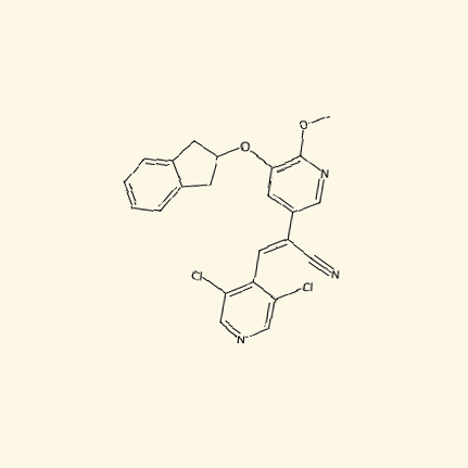 COc1ncc(C(C#N)=Cc2c(Cl)cncc2Cl)cc1OC1Cc2ccccc2C1